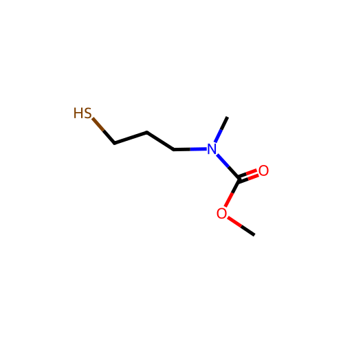 COC(=O)N(C)CCCS